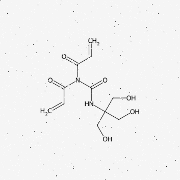 C=CC(=O)N(C(=O)C=C)C(=O)NC(CO)(CO)CO